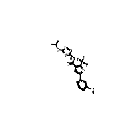 COc1cccc(-c2cc(C(=O)Nc3nc(OC(C)C)ns3)c(C(F)(F)F)o2)c1